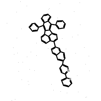 c1ccc(-c2c3c(c(-c4ccccc4)c4ccccc24)-c2ccc(-c4ccc5cc(-c6ccc(-c7ccccn7)nc6)ccc5c4)c4cccc-3c24)cc1